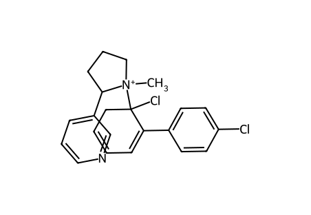 C[N+]1(C2(Cl)CC=CC=C2c2ccc(Cl)cc2)CCCC1c1cccnc1